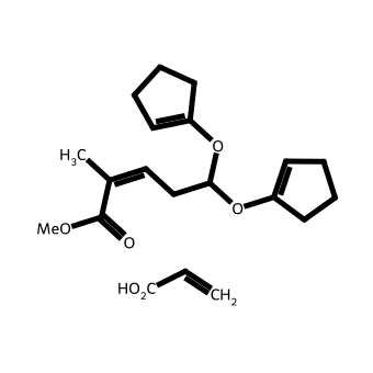 C=CC(=O)O.COC(=O)C(C)=CCC(OC1=CCCC1)OC1=CCCC1